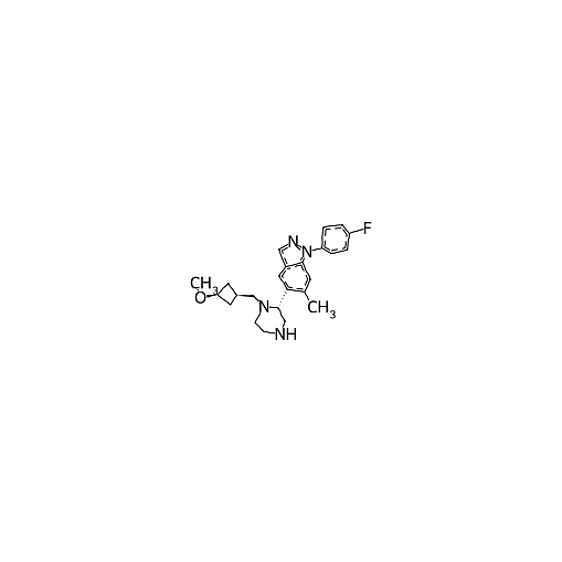 CO[C@H]1C[C@@H](CN2CCNC[C@H]2c2cc3cnn(-c4ccc(F)cc4)c3cc2C)C1